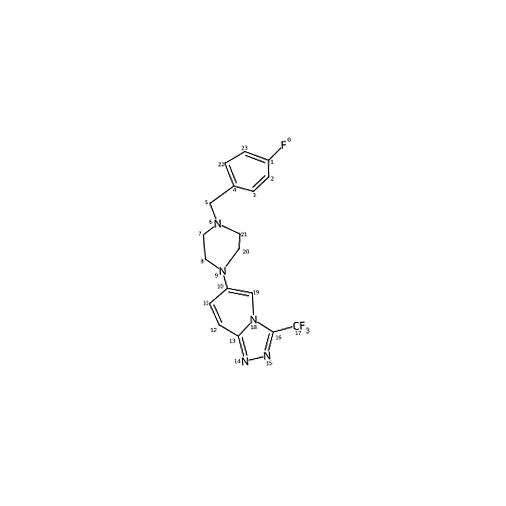 Fc1ccc(CN2CCN(c3ccc4nnc(C(F)(F)F)n4c3)CC2)cc1